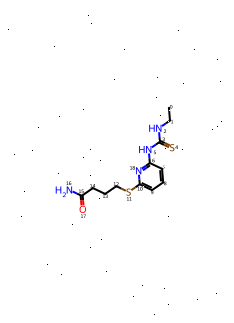 CCNC(=S)Nc1cccc(SCCCC(N)=O)n1